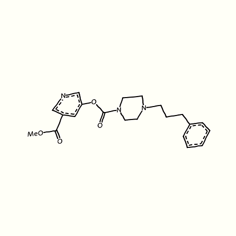 COC(=O)c1cncc(OC(=O)N2CCN(CCCc3ccccc3)CC2)c1